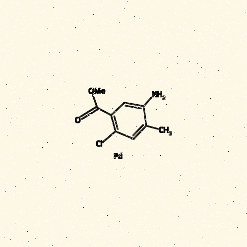 COC(=O)c1cc(N)c(C)cc1Cl.[Pd]